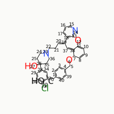 O=C(O)c1ccc(COC2C=CC=C3Oc4ncccc4C(=CCCN4CCC(O)(c5ccc(Cl)cc5)CC4)C=C32)cc1